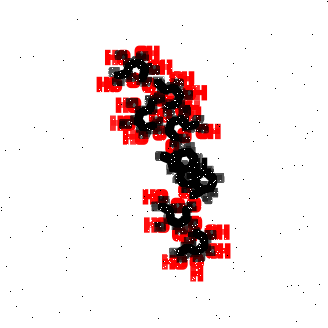 C=C1CC23CCC4[C@](C)(C(=O)OC5OC(CO)C(O)C(O)C5OC5OC(CO)C(O)C(O)C5O)CCC[C@@]4(C)[C@@H]2CC[C@]1(OC1OC(CO)C(O)C(OC2OC(COC4OC(CO)C(O)C(O)C4O)C(O)C(O)C2O)C1OC1OC(CO)C(O)C(O)C1O)C3